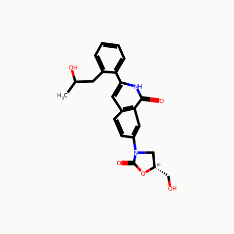 CC(O)Cc1ccccc1-c1cc2ccc(N3C[C@H](CO)OC3=O)cc2c(=O)[nH]1